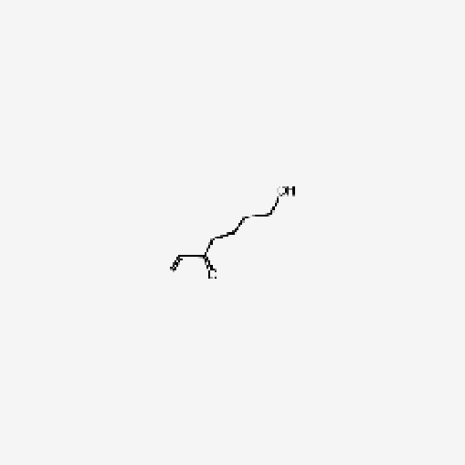 C=CC(=O)CCCCO